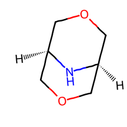 C1OC[C@H]2COC[C@@H]1N2